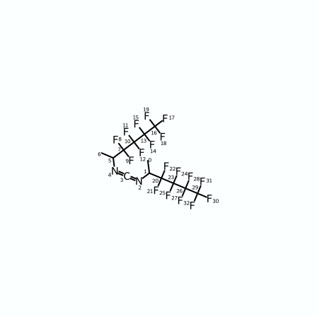 CC(N=C=NC(C)C(F)(F)C(F)(F)C(F)(F)C(F)(F)F)C(F)(F)C(F)(F)C(F)(F)C(F)(F)F